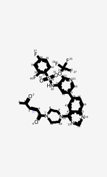 CC(=O)/C=C/C(=O)N1CCN(c2ncnc3ccc(-c4cnc(OC(F)(F)F)c(NS(=O)(=O)c5ccc(F)cc5F)c4)cc23)CC1